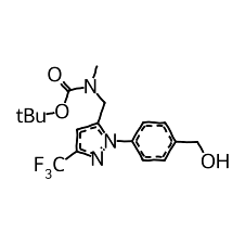 CN(Cc1cc(C(F)(F)F)nn1-c1ccc(CO)cc1)C(=O)OC(C)(C)C